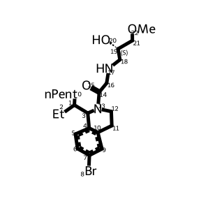 CCCCCC(CC)C1c2ccc(Br)cc2CCN1C(=O)CNC[C@H](O)COC